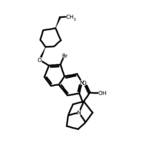 CC[C@H]1CC[C@@H](Oc2ccc3cc(CN4C5CCC4CC(C(=O)O)C5)ncc3c2Br)CC1